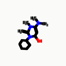 C=C1N(C)C(N(C)C)=CC(O)N1C1CCCCC1